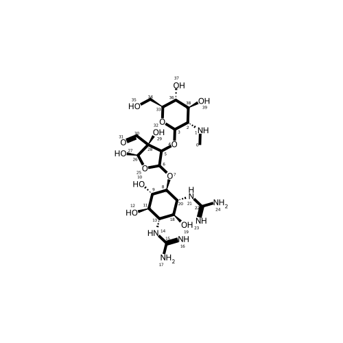 CN[C@@H]1C(OC2C(O[C@@H]3[C@@H](O)[C@H](O)[C@@H](NC(=N)N)[C@H](O)[C@H]3NC(=N)N)O[C@@H](O)[C@]2(O)C=O)O[C@@H](CO)[C@H](O)[C@H]1O